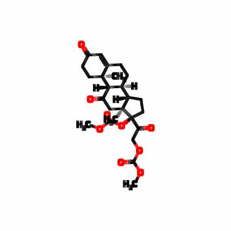 COC(=O)OCC(=O)[C@@]1(OC(=O)OC)CC[C@H]2[C@@H]3CCC4=CC(=O)CC[C@]4(C)[C@H]3C(=O)C[C@@]21C